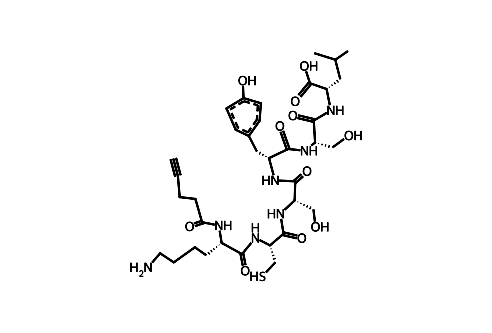 C#CCCC(=O)N[C@@H](CCCCN)C(=O)N[C@@H](CS)C(=O)N[C@@H](CO)C(=O)N[C@H](Cc1ccc(O)cc1)C(=O)N[C@@H](CO)C(=O)N[C@@H](CC(C)C)C(=O)O